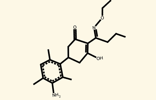 CCCC(=NOCC)C1=C(O)CC(c2c(C)cc(C)c(N)c2C)CC1=O